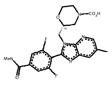 CNC(=O)c1cc(F)c(-c2nc3cc(C)cnc3n2C[C@H]2CN(C(=O)O)CCO2)c(F)c1